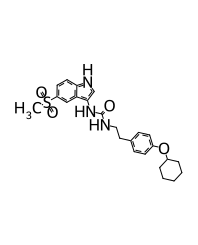 CS(=O)(=O)c1ccc2[nH]cc(NC(=O)NCCc3ccc(OC4CCCCC4)cc3)c2c1